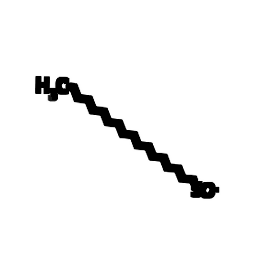 CCCCCCCCCCCCCCCCCCS[O]